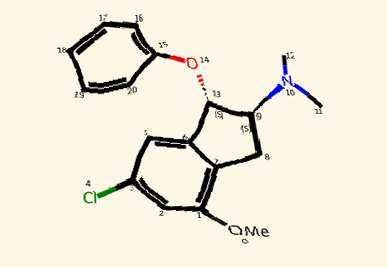 COc1cc(Cl)cc2c1C[C@H](N(C)C)[C@H]2Oc1ccccc1